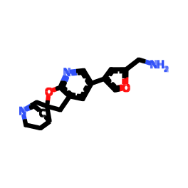 NCc1cc(-c2cnc3c(c2)CC2(CN4CCC2CC4)O3)co1